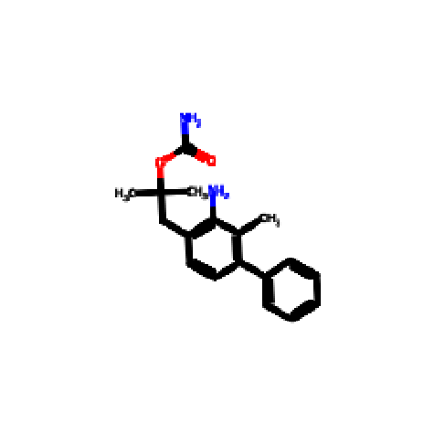 Cc1c(-c2ccccc2)ccc(CC(C)(C)OC(N)=O)c1N